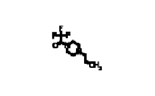 C=CCN1CCN(C(=O)C(F)(F)F)CC1